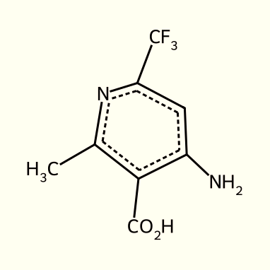 Cc1nc(C(F)(F)F)cc(N)c1C(=O)O